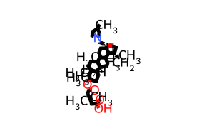 C=C(C)[C@@H]1CC[C@]2(CCN3CCC(C)C3)CC[C@]3(C)[C@H](CC[C@@H]4[C@@]5(C)CC[C@H](OC(=O)CC(C)(C)CC(=O)O)C(C)(C)[C@@H]5CC[C@]43C)[C@@H]12